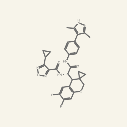 Cc1n[nH]c(C)c1-c1ccc(NC(=O)[C@@H](NC(=O)c2nonc2C2CC2)C2c3cc(F)c(F)cc3OCC23CC3)cc1